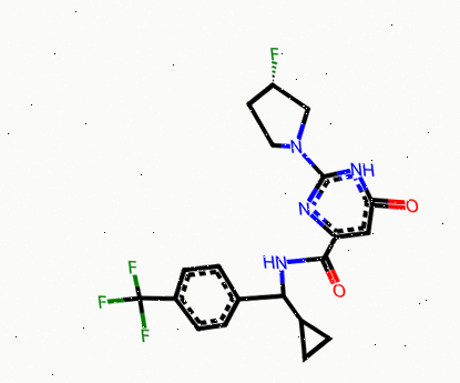 O=C(NC(c1ccc(C(F)(F)F)cc1)C1CC1)c1cc(=O)[nH]c(N2CC[C@H](F)C2)n1